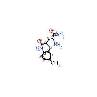 Cc1ccc2c(c1)CC(CC(N)C(N)=O)C(=O)N2